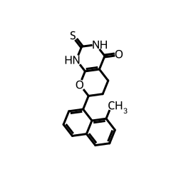 Cc1cccc2cccc(C3CCc4c([nH]c(=S)[nH]c4=O)O3)c12